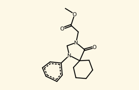 COC(=O)CN1CN(c2ccccc2)C2(CCCCC2)C1=O